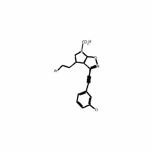 CC(C)CCC1CN(C(=O)O)C2ON=C(C#Cc3cccc(Cl)c3)C12